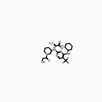 C=CC(=O)N[C@@H]1CCCC[C@H]1Nc1nc(N[C@@H]2CCCN(C(=O)CO)C2)ncc1C(F)(F)F